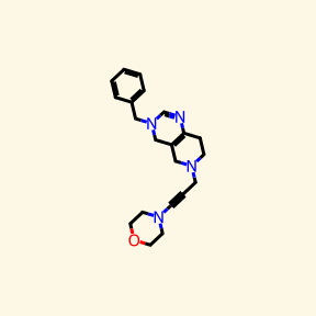 C(#CN1CCOCC1)CN1CCC2=C(CN(Cc3ccccc3)C=N2)C1